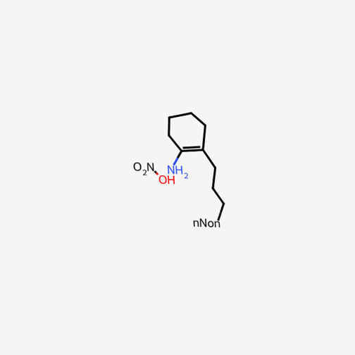 CCCCCCCCCCCCC1=C(N)CCCC1.O=[N+]([O-])O